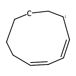 [C]1/C=C\C=C/CCCCC1